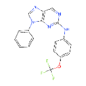 FC(F)(F)Oc1ccc(Nc2ncc3ncn(-c4ccccc4)c3n2)cc1